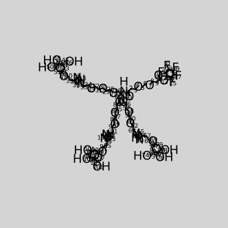 O=C(CCOCCOCCC(=O)Oc1c(F)c(F)c(F)c(F)c1F)NC(COCCOCCOCCn1cc(CCO[C@@H]2C[C@H](CO)[C@H](O)[C@H](O)C2)nn1)(COCCOCCOCCn1cc(CCO[C@@H]2C[C@H](CO)[C@H](O)[C@H](O)C2)nn1)COCCOCCOCCn1cc(CCO[C@H]2C[C@@H](O)[C@@H](O)[C@@H](CO)O2)nn1